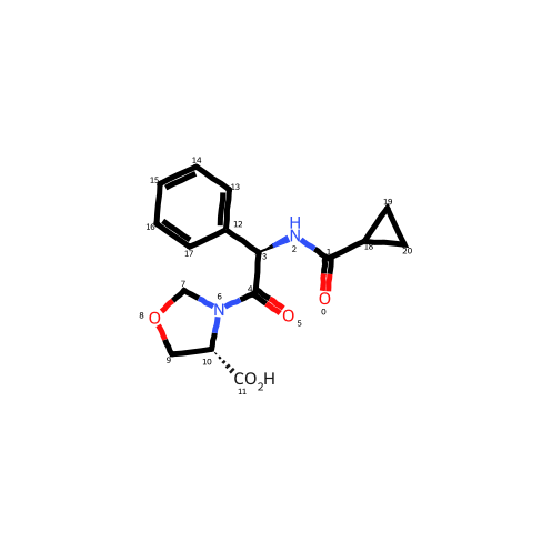 O=C(N[C@@H](C(=O)N1COC[C@H]1C(=O)O)c1ccccc1)C1CC1